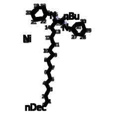 CCCCCCCCCCCCCCCCCCCCCCCCC(=N\c1ccccc1)/C(CCCC)=N/c1ccccc1.[Ni]